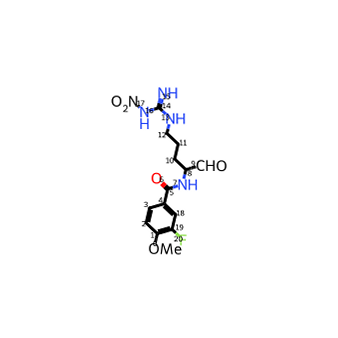 COc1ccc(C(=O)NC(C=O)CCCNC(=N)N[N+](=O)[O-])cc1F